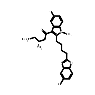 C[C@H](CC(=O)O)CC(=O)c1c(CCCCc2nc3cc(Cl)ccc3o2)n(C)c2ccc(Cl)cc12